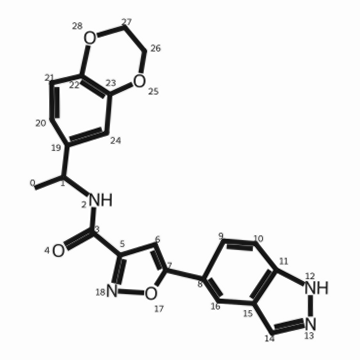 CC(NC(=O)c1cc(-c2ccc3[nH]ncc3c2)on1)c1ccc2c(c1)OCCO2